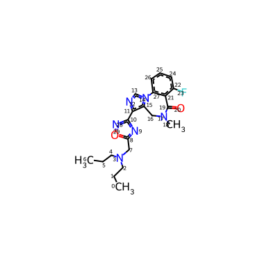 CCCN(CCC)Cc1nc(-c2ncn3c2CN(C)C(=O)c2c(F)cccc2-3)no1